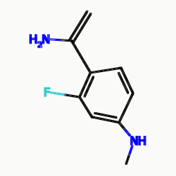 C=C(N)c1ccc(NC)cc1F